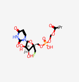 CC(C)C(=O)OCOP(=O)(O)OC[C@@]1(CF)O[C@@H](n2ccc(=O)[nH]c2=O)[C@](C)(O)[C@@H]1O